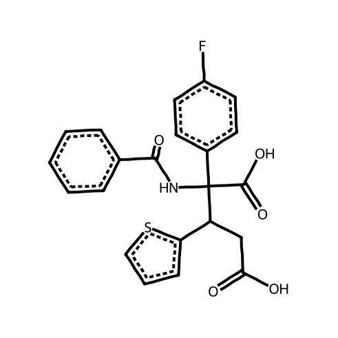 O=C(O)CC(c1cccs1)C(NC(=O)c1ccccc1)(C(=O)O)c1ccc(F)cc1